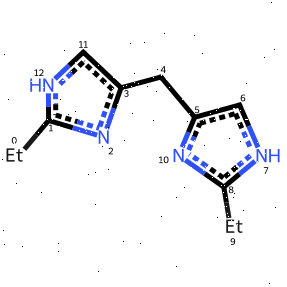 CCc1nc(Cc2c[nH]c(CC)n2)c[nH]1